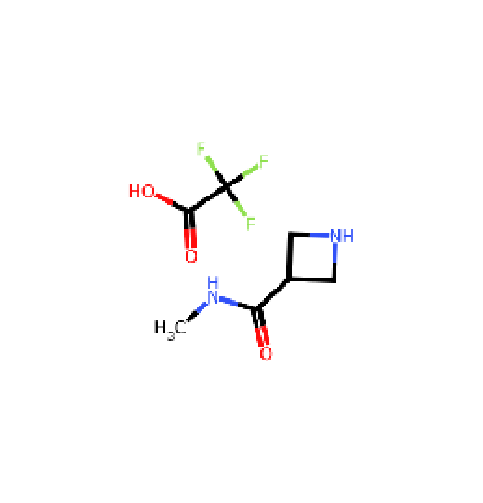 CNC(=O)C1CNC1.O=C(O)C(F)(F)F